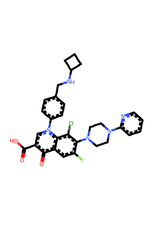 O=C(O)c1cn(-c2ccc(CNC3CCC3)cc2)c2c(Cl)c(N3CCN(c4ccccn4)CC3)c(F)cc2c1=O